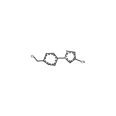 N#Cc1cnn(-c2ccc(CCl)cc2)c1